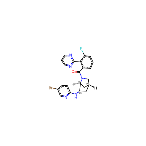 O=C(c1cccc(F)c1-c1ncccn1)N1C[C@@H]2C[C@@H](Nc3ccc(Br)cn3)[C@@H]1C2